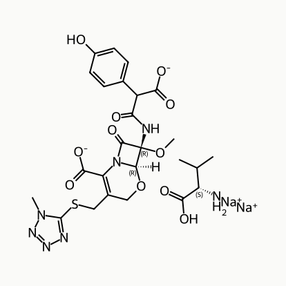 CC(C)[C@H](N)C(=O)O.CO[C@@]1(NC(=O)C(C(=O)[O-])c2ccc(O)cc2)C(=O)N2C(C(=O)[O-])=C(CSc3nnnn3C)CO[C@@H]21.[Na+].[Na+]